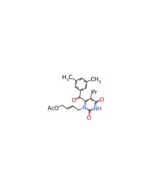 CC(=O)OCC=CCn1c(C(=O)c2cc(C)cc(C)c2)c(C(C)C)c(=O)[nH]c1=O